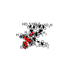 CCC(C)(C)C(=O)OCCOC(=O)C(C)(COC(=O)C(C)(COC(=O)C(C)(COC(=O)CS(=O)(=O)O)COC(=O)CS(=O)(=O)O)COC(=O)C(C)(COC(=O)CS(=O)(=O)O)COC(=O)CS(=O)(=O)O)COC(=O)C(C)(COC(=O)C(C)(COC(=O)CS(C)(=O)=O)COC(=O)CS(=O)(=O)CC)COC(=O)C(C)(COC(=O)CS(C)(=O)=O)COC(=O)CS(=O)(=O)CC